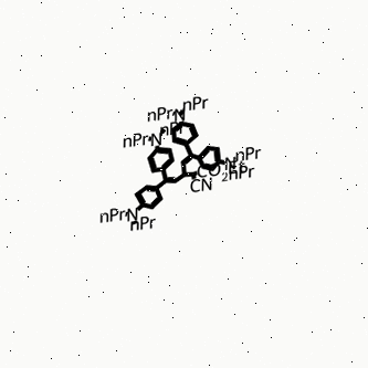 CCCN(CCC)c1ccc(C(=CC(C=C(c2ccc(N(CCC)CCC)cc2)c2ccc(N(CCC)CCC)cc2)C(C#N)C(=O)OCC)c2ccc(N(CCC)CCC)cc2)cc1